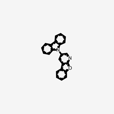 c1ccc2c(c1)oc1ncc(-n3c4ccccc4c4ccccc43)cc12